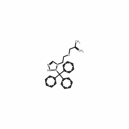 C=C(C)COCCN1C=NNN1C(c1ccccc1)(c1ccccc1)c1ccccc1